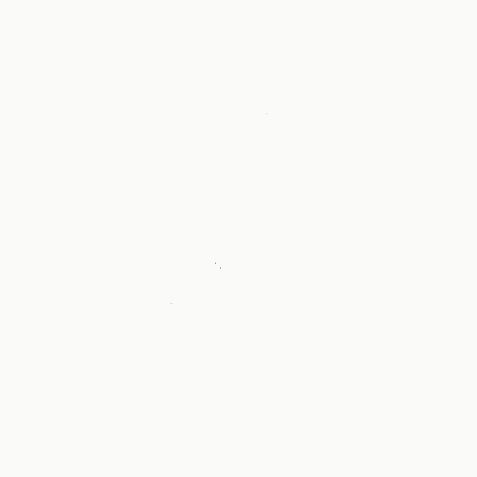 CC(C)CN(c1ccc(C(O)(C(C)(C)C)C(F)(F)F)cc1)S(=O)(=O)c1ccccc1